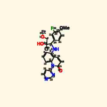 CCOCC(O)(C(Nc1cccc2c1ccc(=O)n2-c1ccncn1)c1ccc(OC)c(F)c1)C(F)(F)F